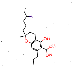 CCCc1cc2c(c(O)c1C(O)O)CC[C@@](C)(CCCC(C)I)O2